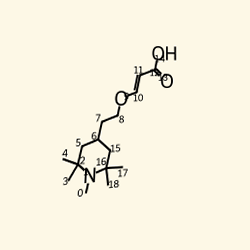 CN1C(C)(C)CC(CCOC=CC(=O)O)CC1(C)C